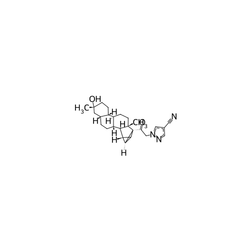 C[C@@]1(O)CC[C@H]2[C@H](CC[C@@H]3[C@@H]2CC[C@@]2(C)[C@H]3[C@@H]3C4[C@@H]3[C@]42C(=O)Cn2cc(C#N)cn2)C1